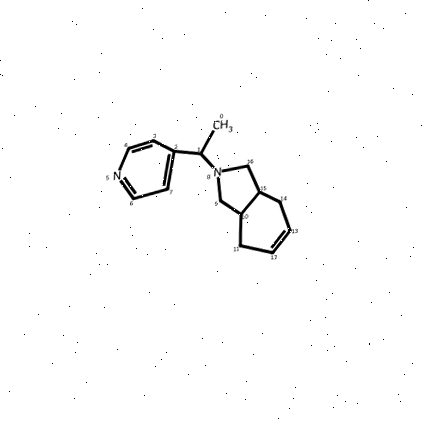 CC(c1ccncc1)N1CC2CC=CCC2C1